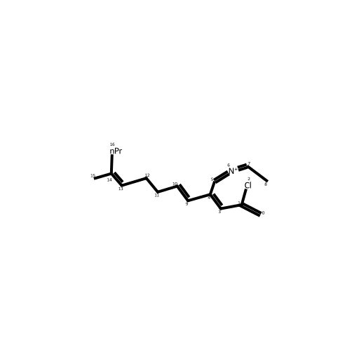 C=C(Cl)/C=C(C=[N+]=CC)/C=C/CC/C=C(/C)CCC